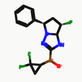 [O-][S+](C1=NN2C(N1)[C@@H](F)C[C@H]2c1ccccc1)C1CC1(F)F